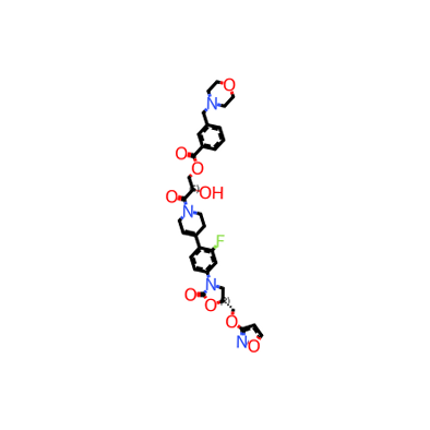 O=C(OC[C@H](O)C(=O)N1CC=C(c2ccc(N3C[C@H](COc4ccon4)OC3=O)cc2F)CC1)c1cccc(CN2CCOCC2)c1